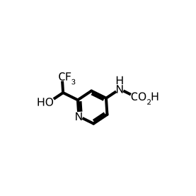 O=C(O)Nc1ccnc(C(O)C(F)(F)F)c1